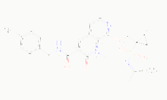 CO/C(C)=N\S(=O)(=O)C1(COc2nccc3cc(C(=O)NCc4ccc(C#N)cc4)c(=O)n(C)c23)CC1